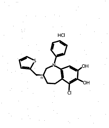 Cl.Oc1cc2c(c(Cl)c1O)CC[C@@H](Cc1cccs1)CN2c1ccccc1